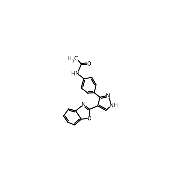 CC(=O)Nc1ccc(-c2n[nH]cc2-c2nc3ccccc3o2)cc1